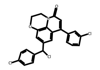 O=c1cc(-c2cccc(Cl)c2)c2cc(C(Cl)c3ccc(Cl)cc3)cc3c2n1CCO3